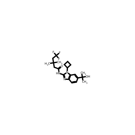 CC(C)(CC(=O)Nc1nc2ccc(C(C)(C)O)cc2n1C1CCC1)CC(F)(F)F